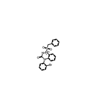 NC(=O)N(c1ccccc1Br)c1ccccc1NS(=O)(=O)Cc1ccccc1